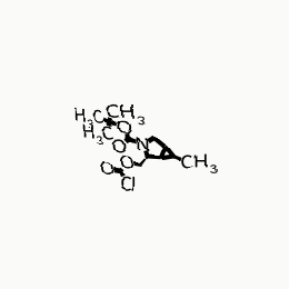 CC1C2CN(C(=O)OC(C)(C)C)[C@H](COC(=O)Cl)C12